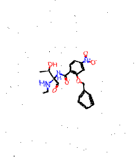 CCN[C@](C=O)(NC(=O)c1ccc([N+](=O)[O-])cc1OCc1ccccc1)[C@@H](C)O